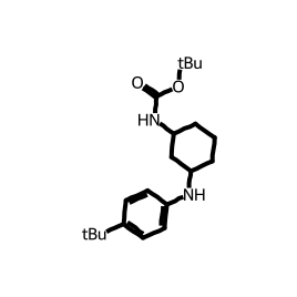 CC(C)(C)OC(=O)NC1CCCC(Nc2ccc(C(C)(C)C)cc2)C1